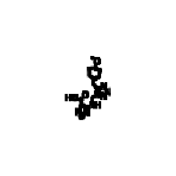 COc1ccc(Cc2nnnn2CNc2nonc2C(=O)O)cc1